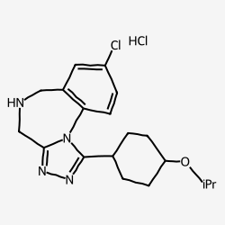 CC(C)OC1CCC(c2nnc3n2-c2ccc(Cl)cc2CNC3)CC1.Cl